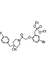 CCOP(=O)(Cc1cc(Br)ccc1OCC(=O)N1CCC(C#N)(Cc2ccc(F)cc2)CC1)OCC